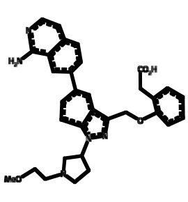 COCCN1CCC(n2nc(COc3ccccc3CC(=O)O)c3cc(-c4ccc5ccnc(N)c5c4)ccc32)C1